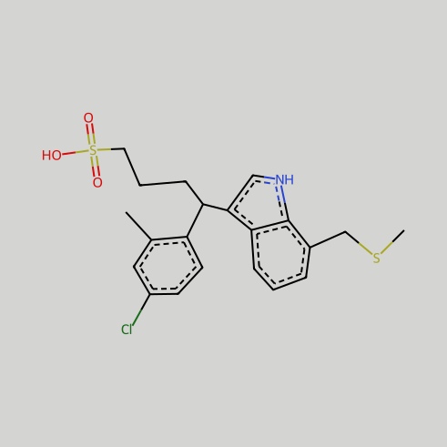 CSCc1cccc2c(C(CCCS(=O)(=O)O)c3ccc(Cl)cc3C)c[nH]c12